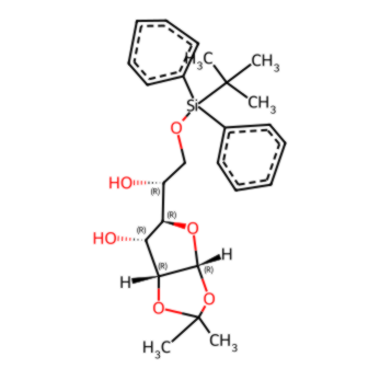 CC1(C)O[C@H]2O[C@H]([C@H](O)CO[Si](c3ccccc3)(c3ccccc3)C(C)(C)C)[C@@H](O)[C@H]2O1